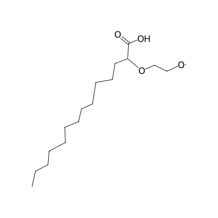 CCCCCCCCCCCCC(OCC[O])C(=O)O